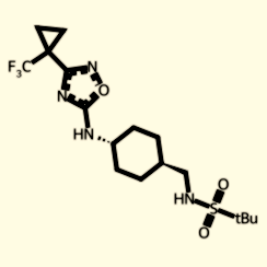 CC(C)(C)S(=O)(=O)NC[C@H]1CC[C@H](Nc2nc(C3(C(F)(F)F)CC3)no2)CC1